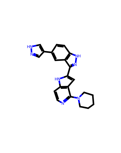 c1cc2[nH]c(-c3n[nH]c4ccc(-c5cn[nH]c5)cc34)cc2c(N2CCCCC2)n1